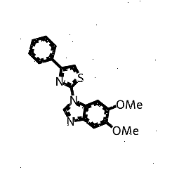 COc1cc2ncn(-c3nc(-c4ccccc4)cs3)c2cc1OC